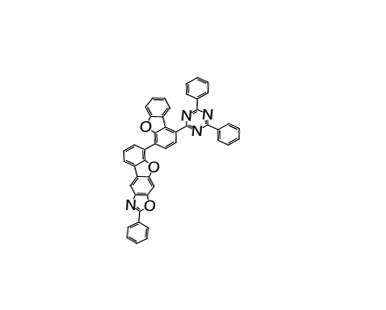 c1ccc(-c2nc(-c3ccccc3)nc(-c3ccc(-c4cccc5c4oc4cc6oc(-c7ccccc7)nc6cc45)c4oc5ccccc5c34)n2)cc1